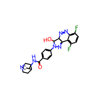 O=C(NC1CN2CCC1CC2)c1ccc(N2N=C3c4c(F)ccc(F)c4N=NC3C2O)cc1